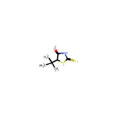 CC(C)(C)C1SC(=S)NC1=O